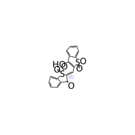 O=C1/C(=C/C2=C(O)c3ccccc3S2(=O)=O)S(=O)(=O)c2ccccc21